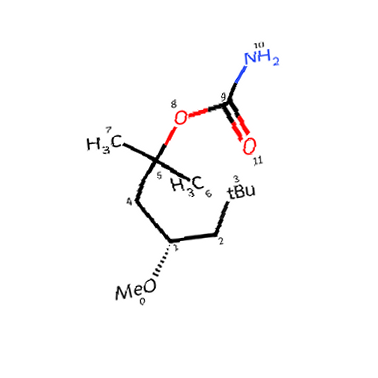 CO[C@@H](CC(C)(C)C)CC(C)(C)OC(N)=O